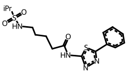 CC(C)S(=O)(=O)NCCCCC(=O)Nc1nnc(-c2ccccc2)s1